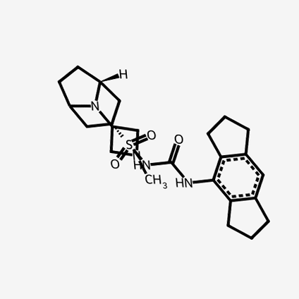 CN1CC(N2C3CC[C@@H]2C[C@H](S(=O)(=O)NC(=O)Nc2c4c(cc5c2CCC5)CCC4)C3)C1